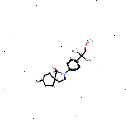 COCC(C)(C)c1ccc(N2CCC3(CCC(O)CC3)C2=O)cc1